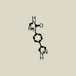 O=c1[nH]cnn1-c1ccc(-c2cn[nH]c2)cc1